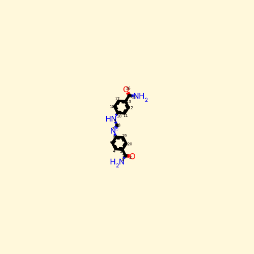 NC(=O)c1ccc(/N=C/Nc2ccc(C(N)=O)cc2)cc1